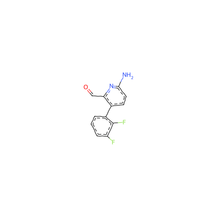 Nc1ccc(-c2cccc(F)c2F)c(C=O)n1